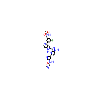 CN(C)CC(=O)Nc1cncc(-c2ccc3[nH]nc(-c4cc5c(-c6cc(F)cc(CNS(C)(=O)=O)c6)nccc5[nH]4)c3n2)c1